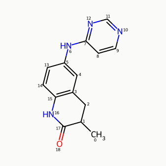 CC1Cc2cc(Nc3ccncn3)ccc2NC1=O